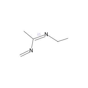 C=N/C(C)=N\CC